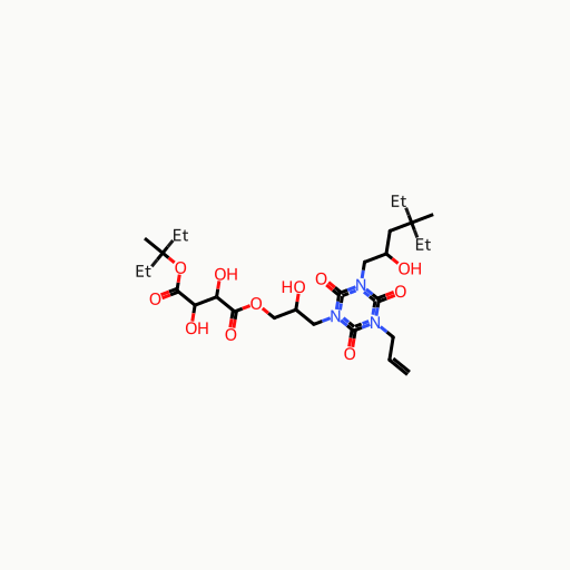 C=CCn1c(=O)n(CC(O)COC(=O)C(O)C(O)C(=O)OC(C)(CC)CC)c(=O)n(CC(O)CC(C)(CC)CC)c1=O